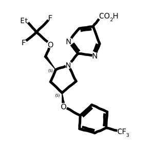 CCC(F)(F)OC[C@@H]1C[C@H](Oc2ccc(C(F)(F)F)cc2)CN1c1ncc(C(=O)O)cn1